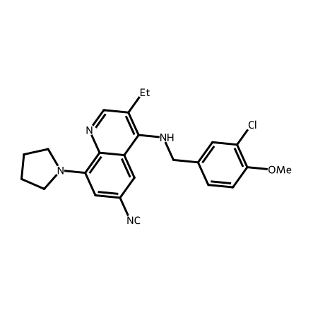 [C-]#[N+]c1cc(N2CCCC2)c2ncc(CC)c(NCc3ccc(OC)c(Cl)c3)c2c1